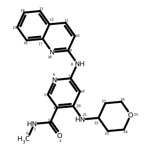 CNC(=O)c1cnc(Nc2ccc3ccccc3n2)cc1NC1CCOCC1